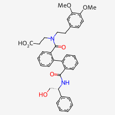 COc1ccc(CCN(CCC(=O)O)C(=O)c2ccccc2-c2ccccc2C(=O)N[C@@H](CO)c2ccccc2)cc1OC